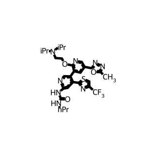 CCCNC(=O)Nc1cc(-c2nc(C(F)(F)F)cs2)c(-c2cc(-c3nnc(C)o3)cnc2OCCN(C(C)C)C(C)C)cn1